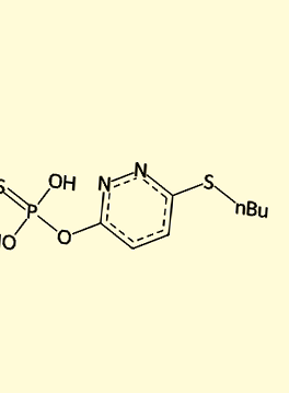 CCCCSc1ccc(OP(O)(O)=S)nn1